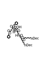 CCCCCCCCCCCCCCCC(=O)OC(CCCCCCCCCCCCCCC)CC(=O)NCCC(=O)N[C@H](C(=O)N[C@@H](CCC(=O)OCc1ccccc1)C(=O)OCc1ccccc1)[C@@H](C)O